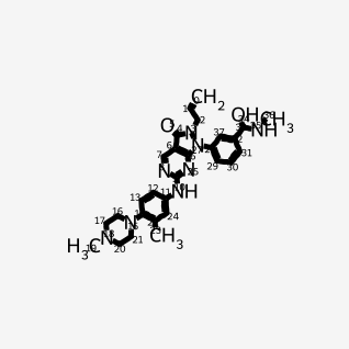 C=CCn1c(=O)c2cnc(Nc3ccc(N4CCN(C)CC4)c(C)c3)nc2n1-c1cccc(C(O)NC)c1